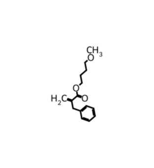 C=C(Cc1ccccc1)C(=O)OCCCCOC